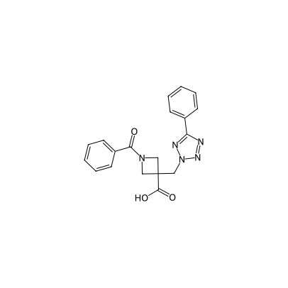 O=C(c1ccccc1)N1CC(Cn2nnc(-c3ccccc3)n2)(C(=O)O)C1